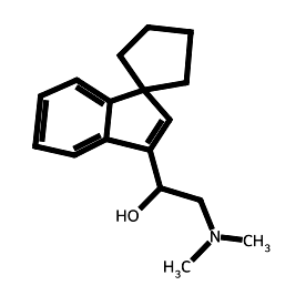 CN(C)CC(O)C1=CC2(CCCC2)c2ccccc21